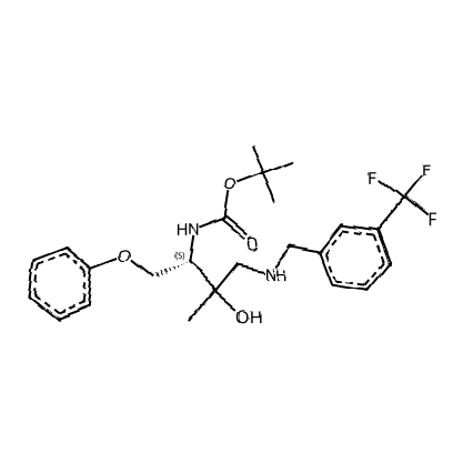 CC(C)(C)OC(=O)N[C@@H](COc1ccccc1)C(C)(O)CNCc1cccc(C(F)(F)F)c1